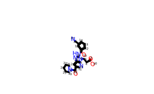 COC(=O)CCn1c(NC(=O)c2cccc(C#N)c2)nc2cc(C(=O)N3CCCCC3)cnc21